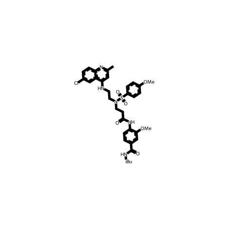 CCC(C)NC(=O)c1ccc(NC(=O)CCN(CCNc2cc(C)nc3ccc(Cl)cc23)S(=O)(=O)c2ccc(OC)cc2)c(OC)c1